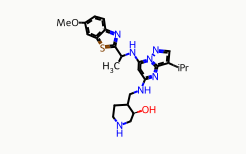 COc1ccc2nc(C(C)Nc3cc(NCC4CCNC[C@@H]4O)nc4c(C(C)C)cnn34)sc2c1